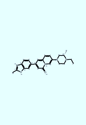 CCN1CCN(c2ccc3cc(-c4ccc5nc(C)oc5c4)cc(=O)n3c2)C[C@@H]1C